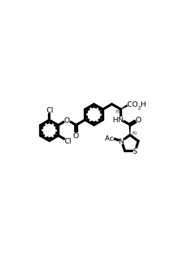 CC(=O)N1CSC[C@@H]1C(=O)N[C@@H](Cc1ccc(C(=O)Oc2c(Cl)cccc2Cl)cc1)C(=O)O